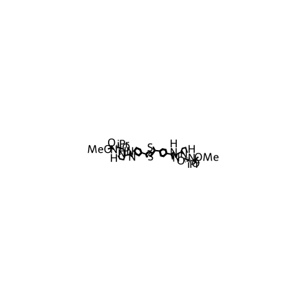 COC(=O)N[C@H](C(=O)N1CCCC1c1ncc(-c2ccc(-c3csc4c(-c5ccc6[nH]c(C7CCCN7C(=O)[C@@H](NC(=O)OC)C(C)C)nc6c5)csc34)cc2)[nH]1)C(C)C